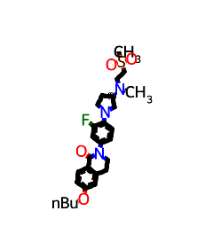 CCCCOc1ccc2c(c1)CCN(c1ccc(N3CC[C@@H](N(C)CCS(C)(=O)=O)C3)c(F)c1)C2=O